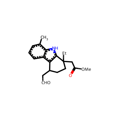 CCC1(CC(=O)OC)CCC(CC=O)c2c1[nH]c1c(C)cccc21